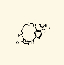 NS(=O)(=O)c1ccc2cc1OCCCCCNc1nc(ncc1Br)N2